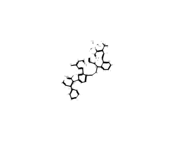 C=C1C2C(CCc3ccc4c(oc5nccc(-c6ccccc6)c54)c3-c3cc(C)cc[n+]31)c1ccccc1-c1cc(C(C)C)c([Si](C)(C)C)c[n+]12